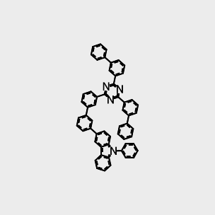 c1ccc(-c2cccc(-c3nc(-c4cccc(-c5ccccc5)c4)nc(-c4cccc(-c5cccc(-c6ccc7c(c6)c6ccccc6n7-c6ccccc6)c5)c4)n3)c2)cc1